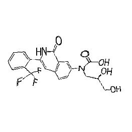 O=C(O)N(C[C@@H](O)CO)c1ccc2cc(-c3ccccc3C(F)(F)F)[nH]c(=O)c2c1